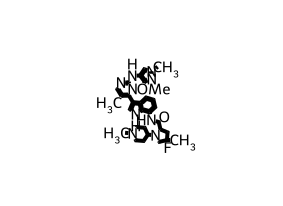 COc1nn(C)cc1Nc1ncc(C)c(-c2c[nH]c3c(NC(=O)C4CC(C)(F)CN4C4CCN(C)CC4)cccc23)n1